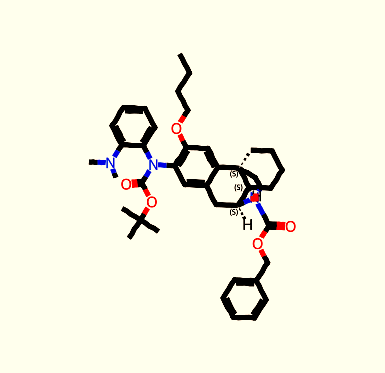 CCCCOc1cc2c(cc1N(C(=O)OC(C)(C)C)c1ccccc1N(C)C)C[C@H]1[C@H]3CCCC[C@@]23CCN1C(=O)OCc1ccccc1